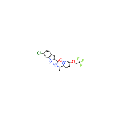 C[C@@H](NC(=O)c1cc2ccc(Cl)cc2n1C)c1ccc(OCC(F)(F)F)cn1